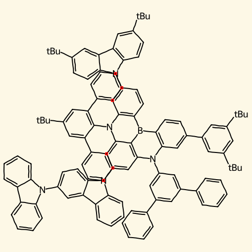 CC(C)(C)c1cc(-c2ccc3c(c2)N(c2cc(-c4ccccc4)cc(-c4ccccc4)c2)c2cc(-n4c5ccccc5c5cc(-n6c7ccccc7c7ccccc76)ccc54)cc4c2B3c2ccc(-n3c5ccc(C(C)(C)C)cc5c5cc(C(C)(C)C)ccc53)cc2N4c2c(-c3ccccc3)cc(C(C)(C)C)cc2-c2ccccc2)cc(C(C)(C)C)c1